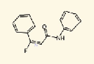 O=C(/C=C(/F)c1ccccc1)Nc1ccccc1